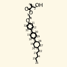 C=C(CO)C(=O)OCCOc1ccc(-c2ccc(C3CCC(CCCCC)CC3)cc2)cc1